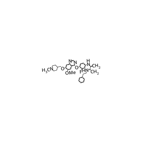 C=C(NCCc1ccccc1)C(=C)Nc1ccc(Oc2ncnc3cc(OCC4CCN(C)CC4)c(OC)cc23)c(F)c1